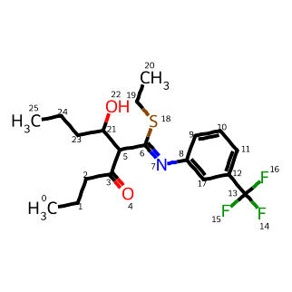 CCCC(=O)C(C(=Nc1cccc(C(F)(F)F)c1)SCC)C(O)CCC